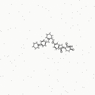 O=C1CCC(N2Cc3cc(OCC4CCCCN4Cc4ccc(N5CCCCC5)cc4)ccc3C2=O)C(=O)N1